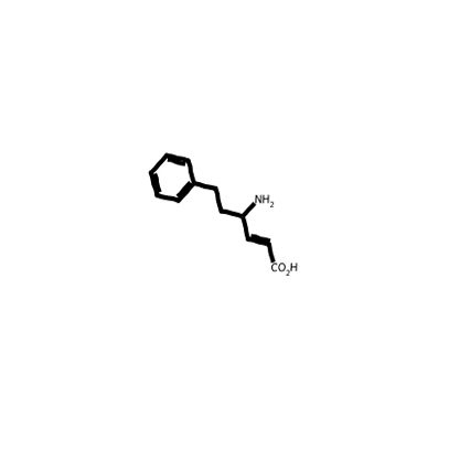 NC(/C=C/C(=O)O)CCc1ccccc1